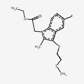 CCOC(=O)Cn1c(C)c(SCCSC)c2cc(F)ccc21